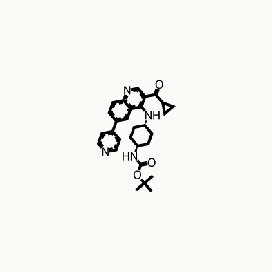 CC(C)(C)OC(=O)N[C@H]1CC[C@H](Nc2c(C(=O)C3CC3)cnc3ccc(-c4ccncc4)cc23)CC1